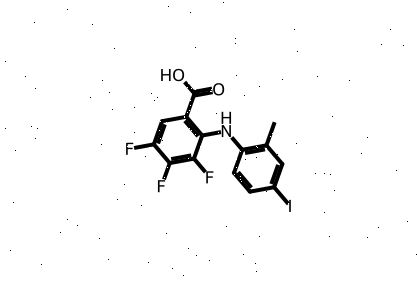 Cc1cc(I)ccc1Nc1c(C(=O)O)cc(F)c(F)c1F